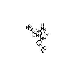 C=CC(=O)N1CCCC(Nc2nc(Nc3cnoc3)nc3[nH]nc(SC)c23)C1